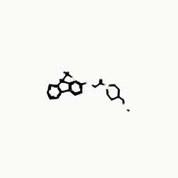 COCC1CCN(C(=O)COc2ccc3c(c2)C(O)(C(F)(F)F)c2ccccc2-3)CC1